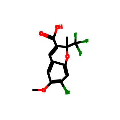 COc1cc2c(cc1Br)OC(C)(C(F)(F)F)C(C(=O)O)=C2